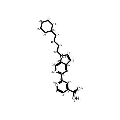 O=C(O)c1ccnc(-c2cc3ccn(CCCCC4CCCCC4)c3cn2)c1